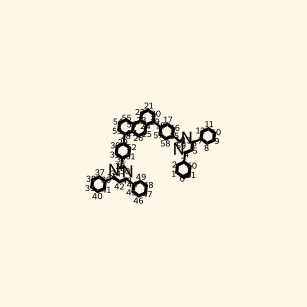 c1ccc(-c2cc(-c3ccccc3)nc(-c3ccc(-c4cccc5c4ccc4c(-c6ccc(-c7nc(-c8ccccc8)cc(-c8ccccc8)n7)cc6)cccc45)cc3)n2)cc#1